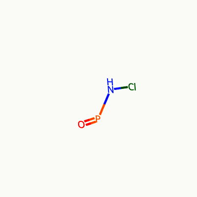 O=PNCl